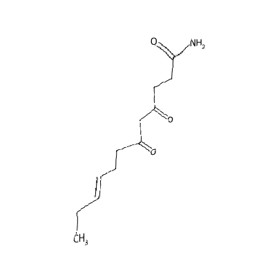 CCC=CCCC(=O)CC(=O)CCC(N)=O